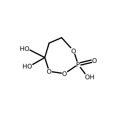 O=P1(O)OCCC(O)(O)OO1